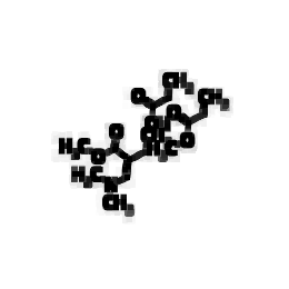 C=CC(=O)O.C=CC(=O)OC.CCC(=CN(C)C)C(=O)OC